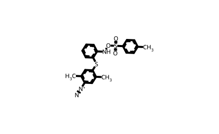 Cc1ccc(S(=O)(=O)ONc2ccccc2Sc2cc(C)c([N+]#N)cc2C)cc1